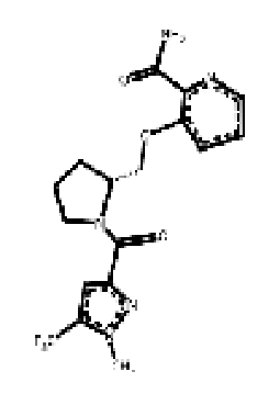 Cn1nc(C(=O)N2CCC[C@@H]2COc2cccnc2C(N)=O)cc1C(F)(F)F